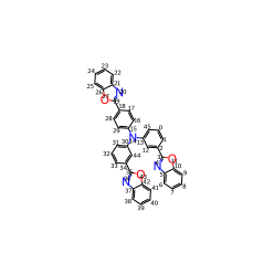 c1cc(-c2nc3ccccc3o2)cc(N(c2ccc(-c3nc4ccccc4o3)cc2)c2cccc(-c3nc4ccccc4o3)c2)c1